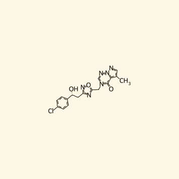 Cc1cnn2ncn(Cc3nc(C[C@@H](O)c4ccc(Cl)cc4)no3)c(=O)c12